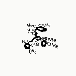 COc1cccc([SiH2]CCC([SiH3])(CC[SiH2]c2cccc(OC)c2OC)CC[SiH2]c2cccc(OC)c2OC)c1OC